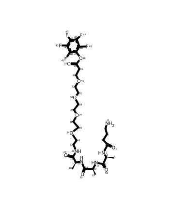 C[C@H](NC(=O)CCCN)C(=O)N[C@@H](C)C(=O)N[C@@H](C)C(=O)NCCOCCOCCOCCOCCC(=O)Oc1c(F)c(F)c(F)c(F)c1F